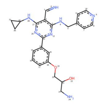 N=Cc1c(NCc2ccncc2)nc(-c2cccc(OCC(O)CN)c2)nc1NC1CC1